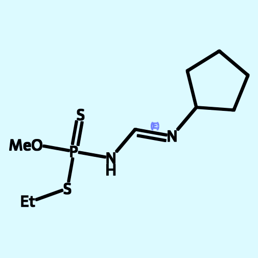 CCSP(=S)(N/C=N/C1CCCC1)OC